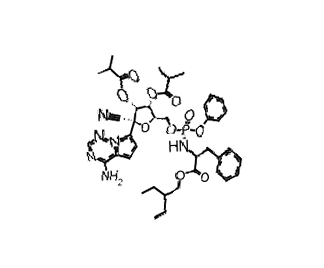 CCC(CC)COC(=O)[C@H](Cc1ccccc1)N[P@@](=O)(OC[C@H]1O[C@@](C#N)(c2ccc3c(N)ncnn23)[C@H](OC(=O)C(C)C)[C@@H]1OC(=O)C(C)C)Oc1ccccc1